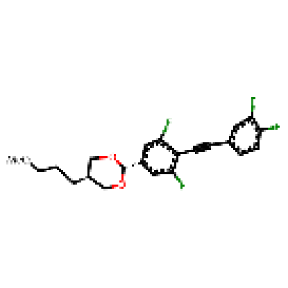 COCCC[C@H]1CO[C@H](c2cc(F)c(C#Cc3ccc(F)c(F)c3)c(F)c2)OC1